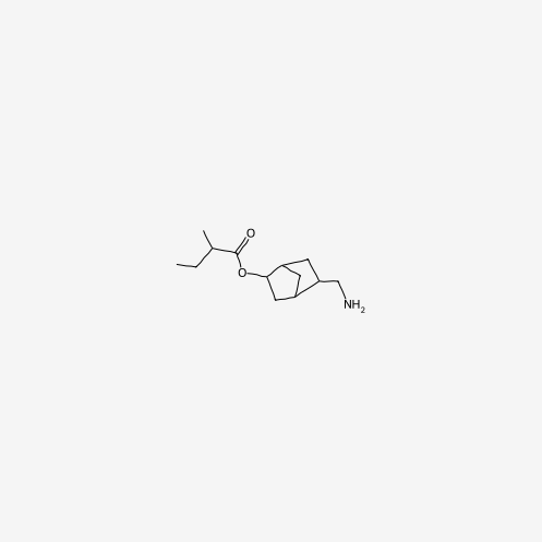 CCC(C)C(=O)OC1CC2CC1CC2CN